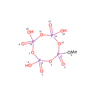 COP1(=O)OP(=O)(O)OP(=O)(O)OP(=O)(O)O1